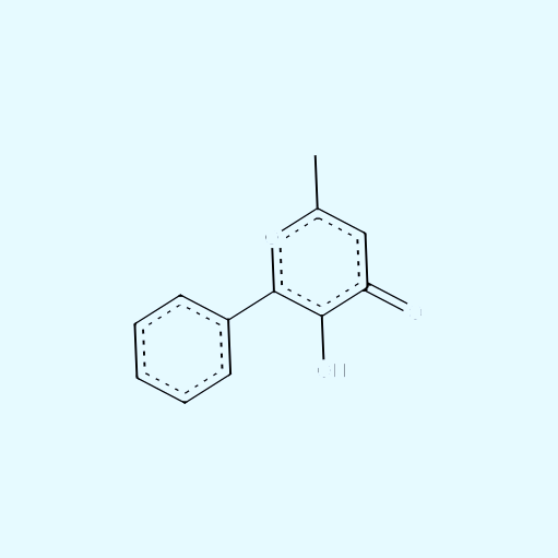 Cc1cc(=O)c(O)c(-c2ccccc2)o1